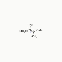 CCOC(=O)/C(C(C)=O)=C(\C)OC